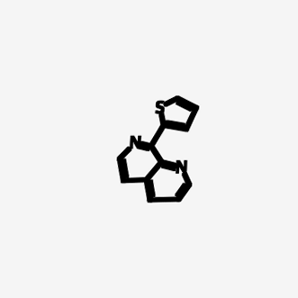 c1csc(-c2nccc3cccnc23)c1